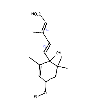 CCOC1C=C(C)C(O)(/C=C/C(C)=C/C(=O)O)C(C)(C)C1